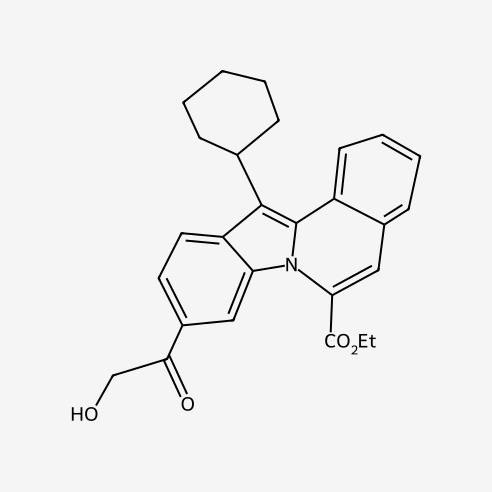 CCOC(=O)c1cc2ccccc2c2c(C3CCCCC3)c3ccc(C(=O)CO)cc3n12